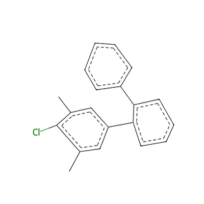 Cc1cc(-c2ccccc2-c2ccccc2)cc(C)c1Cl